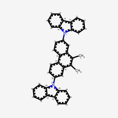 Cc1c(C)c2cc(-n3c4ccccc4c4ccccc43)ccc2c2ccc(-n3c4ccccc4c4ccccc43)cc12